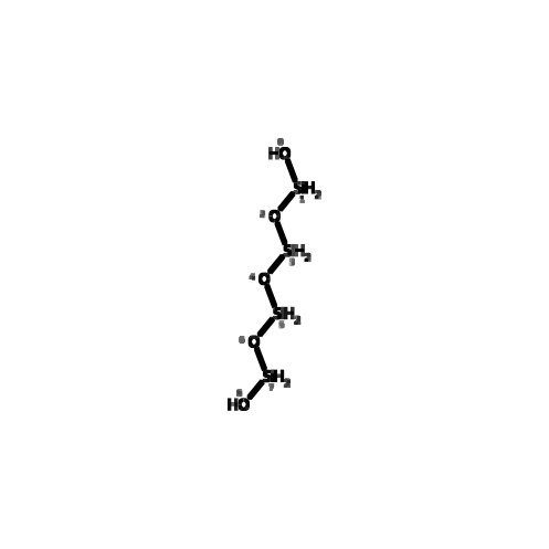 O[SiH2]O[SiH2]O[SiH2]O[SiH2]O